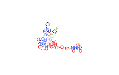 CC(=O)N[C@@H](CSCC(=O)N(CCCNC(=O)[C@H](C)NC(=O)[C@@H](NC(=O)CCOCCOCCOCCOCCNC(=O)CCN1C(=O)C=CC1=O)C(C)C)[C@@H](c1cc(-c2cc(F)ccc2F)cn1Cc1ccccc1)C(C)(C)C)C(=O)O